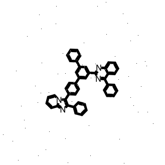 c1ccc(-c2cc(-c3ccc(-c4c(-c5ccccc5)nc5ccccn45)cc3)cc(-c3nc(-c4ccccc4)c4ccccc4n3)c2)cc1